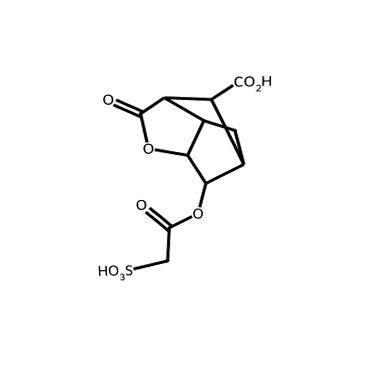 O=C(CS(=O)(=O)O)OC1C2CC3C1OC(=O)C3C2C(=O)O